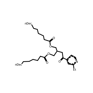 CCCCCCCCCCCCCCCC(=O)OCC(COC(=O)CCCCCCCCCCCCCCC)CC(=O)c1ccnc(CC)c1